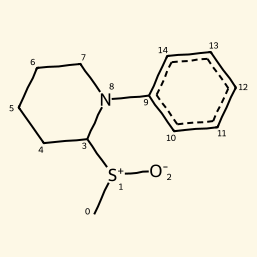 C[S+]([O-])C1CCCCN1c1ccccc1